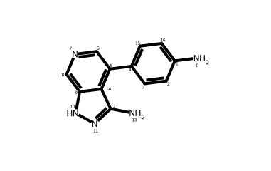 Nc1ccc(-c2cncc3[nH]nc(N)c23)cc1